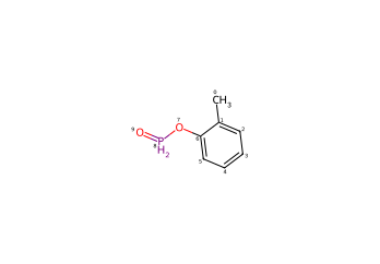 Cc1ccccc1O[PH2]=O